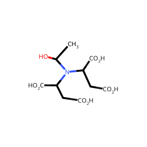 CC(O)N(C(CC(=O)O)C(=O)O)C(CC(=O)O)C(=O)O